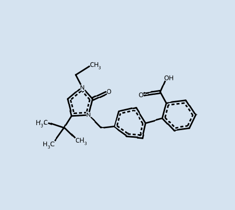 CCn1cc(C(C)(C)C)n(Cc2ccc(-c3ccccc3C(=O)O)cc2)c1=O